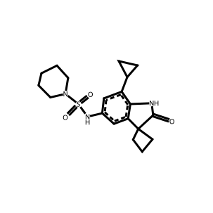 O=C1Nc2c(C3CC3)cc(NS(=O)(=O)N3CCCCC3)cc2C12CCC2